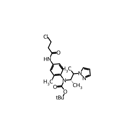 Cc1cc(NC(=O)CCCl)ccc1N(C(=O)OC(C)(C)C)[C@@H](C)C(C)n1cccn1